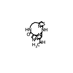 CNc1cc2nc3c(cnn13)C(=O)NCCCc1csc(n1)N2